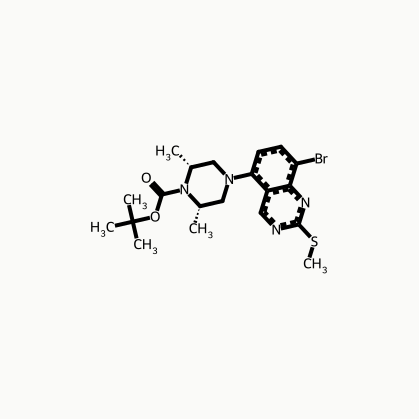 CSc1ncc2c(N3C[C@@H](C)N(C(=O)OC(C)(C)C)[C@@H](C)C3)ccc(Br)c2n1